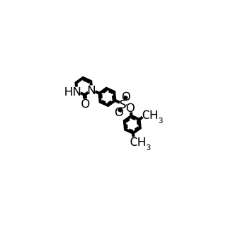 Cc1ccc(OS(=O)(=O)c2ccc(N3C=CCNC3=O)cc2)c(C)c1